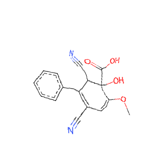 COC1=CC(C#N)=C(c2ccccc2)C(C#N)C1(O)C(=O)O